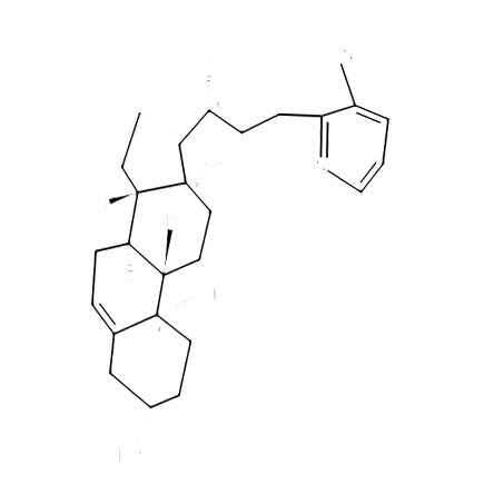 C[C@H](CCc1ncccc1C#N)[C@H]1CC[C@H]2[C@@H]3CC=C4C[C@@H](O)CC[C@]4(C)[C@H]3CC[C@]12C